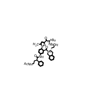 CCCCN(CCCC)C(=O)c1cc(C)n(-c2ccc(NC(=O)C(CCNC(C)=O)c3ccccc3)cc2C(=O)N2Cc3ccccc3C[C@H]2CCO)n1